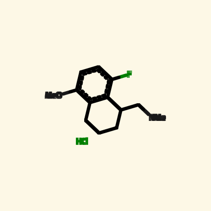 CNCC1CCCc2c(OC)ccc(F)c21.Cl